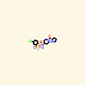 O=C([C@@H]1CCCN1)N1CCC(NS(=O)(=O)c2ccc(Cl)cc2C(F)(F)F)CC1